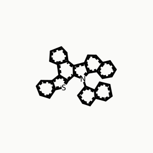 c1ccc2c(-n3c4c5ccccc5ccc4c4c5ccccc5c5c6ccccc6sc5c43)cccc2c1